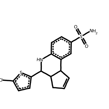 NS(=O)(=O)c1ccc2c(c1)C1C=CCC1C(c1ccc(Cl)s1)N2